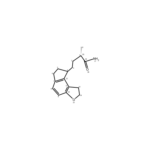 C[C@@H](CCC1CCc2ccc3c(c21)CCO3)C(N)=O